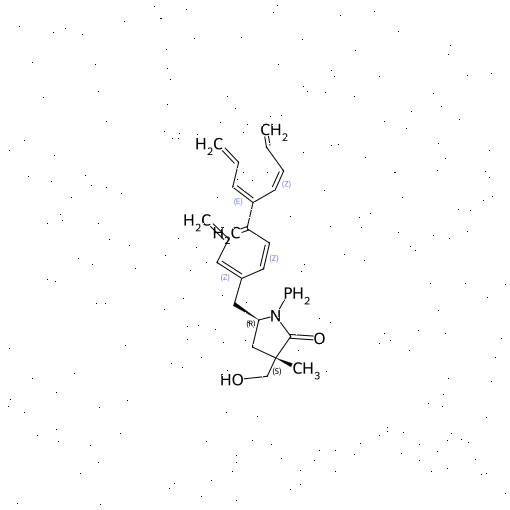 C=C/C=C\C(=C/C=C)C(=C)/C=C\C(=C/C=C)C[C@@H]1C[C@@](C)(CO)C(=O)N1P